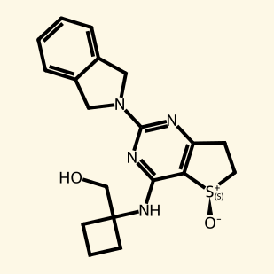 [O-][S@+]1CCc2nc(N3Cc4ccccc4C3)nc(NC3(CO)CCC3)c21